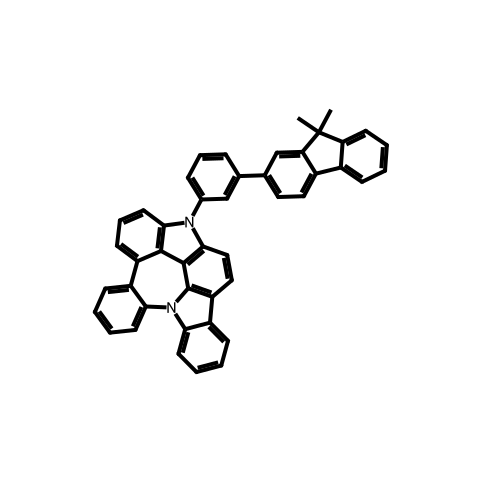 CC1(C)c2ccccc2-c2ccc(-c3cccc(-n4c5cccc6c7ccccc7n7c8ccccc8c8ccc4c(c65)c87)c3)cc21